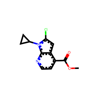 COC(=O)c1ccnc2c1cc(Cl)n2C1CC1